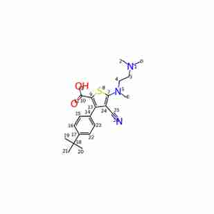 CN(C)CCN(C)c1sc(C(=O)O)c(-c2ccc(C(C)(C)C)cc2)c1C#N